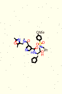 COc1ccc(S(=O)(=O)N(CC(C)C)C[C@@H](O)[C@H](Cc2ccccc2)NC(=O)c2cncc(C(=O)N(C)Cc3nc(C)oc3C)c2)cc1